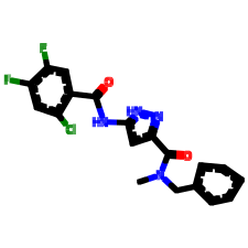 CN(Cc1ccccc1)C(=O)c1cc(NC(=O)c2cc(F)c(F)cc2Cl)[nH]n1